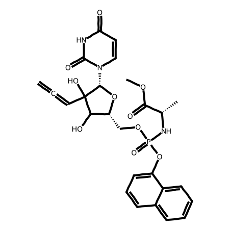 C=C=CC1(O)C(O)[C@@H](COP(=O)(N[C@@H](C)C(=O)OC)Oc2cccc3ccccc23)O[C@H]1n1ccc(=O)[nH]c1=O